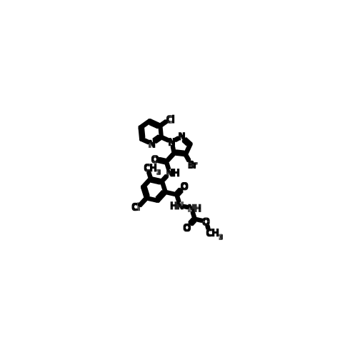 COC(=O)NNC(=O)c1cc(Cl)cc(C)c1NC(=O)c1c(Br)cnn1-c1ncccc1Cl